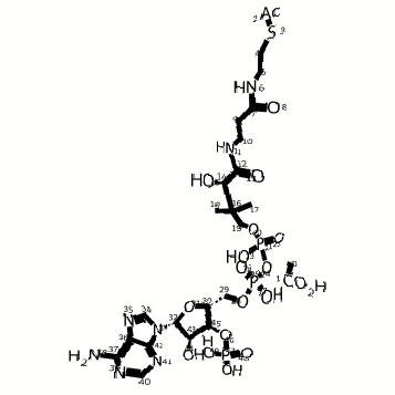 CC(=O)O.CC(=O)SCCNC(=O)CCNC(=O)[C@H](O)C(C)(C)COP(=O)(O)OP(=O)(O)OC[C@H]1O[C@@H](n2cnc3c(N)ncnc32)[C@H](O)[C@@H]1OP(=O)(O)O